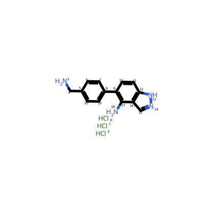 Cl.Cl.Cl.NCc1ccc(-c2ccc3[nH]ncc3c2N)cc1